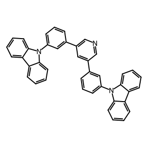 c1cc(-c2cncc(-c3cccc(-n4c5ccccc5c5ccccc54)c3)c2)cc(-n2c3ccccc3c3ccccc32)c1